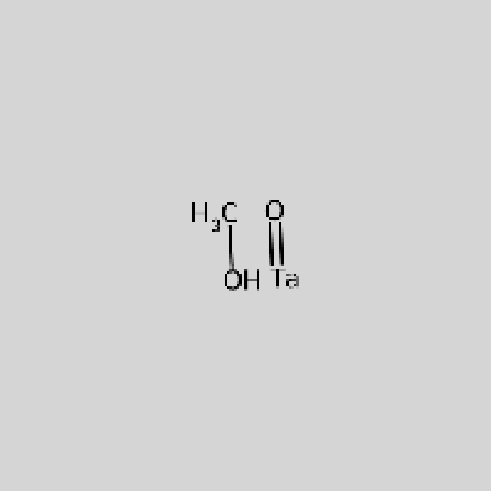 CO.[O]=[Ta]